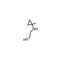 CCCCCNC1(C)CC1